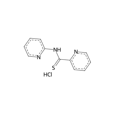 Cl.S=C(Nc1ccccn1)c1ccccn1